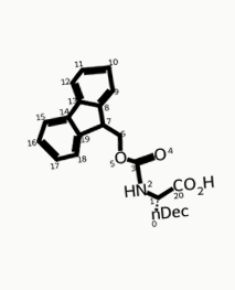 CCCCCCCCCC[C@H](NC(=O)OCC1c2ccccc2-c2ccccc21)C(=O)O